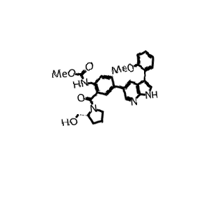 COC(=O)Nc1ccc(-c2cnc3[nH]cc(-c4ccccc4OC)c3c2)cc1C(=O)N1CCC[C@@H]1CO